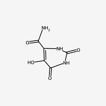 NC(=O)c1[nH]c(=O)[nH]c(=O)c1O